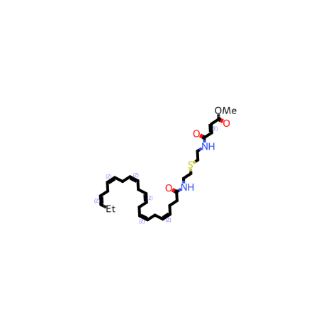 CC/C=C\C/C=C\C/C=C\C/C=C\C/C=C\C/C=C\CCC(=O)NCCSCCNC(=O)/C=C/C(=O)OC